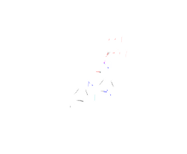 Cc1ccc(Nc2cnccc2C(=O)NO[C@@H](O)CO)c(F)c1